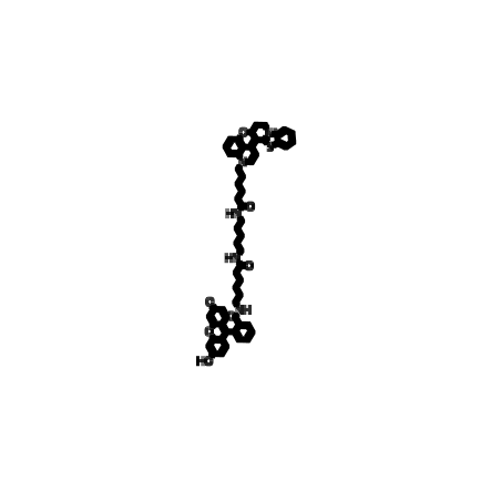 O=C(CCCCCNC(=O)c1ccccc1-c1c2ccc(=O)cc-2oc2cc(O)ccc12)NCCCCCNC(=O)CCCCCN1C=CC2=C3c4sc5ccccc5[n+]4CCC3Oc3cccc1c32